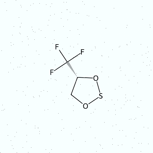 FC(F)(F)[C@H]1COSO1